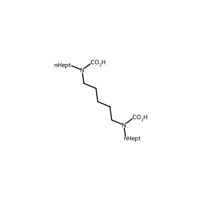 CCCCCCCN(CCCCCN(CCCCCCC)C(=O)O)C(=O)O